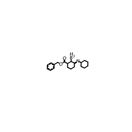 BC1/C(=N/C2CCCCC2)CCCC1C(=O)OCc1ccccc1